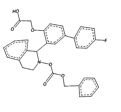 O=C(O)COc1ccc(-c2ccc(F)cc2)cc1C1c2ccccc2CCN1OC(=O)OCc1ccccc1